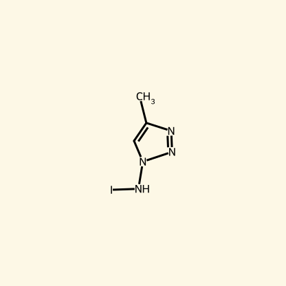 Cc1cn(NI)nn1